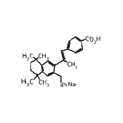 CC(=Cc1ccc(C(=O)O)cc1)c1cc2c(cc1CC(C)C)C(C)(C)CCC2(C)C.[Na]